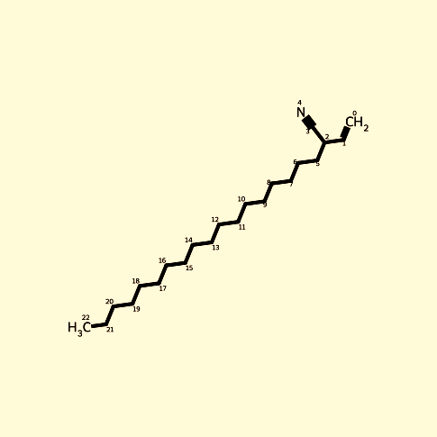 C=CC(C#N)CCCCCCCCCCCCCCCCCC